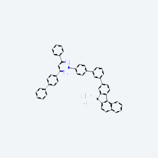 CC1(C)c2cc(-c3cccc(-c4ccc(-c5nc(-c6ccccc6)cc(-c6ccc(-c7ccccc7)cc6)n5)cc4)c3)ccc2-c2c1ccc1ccccc21